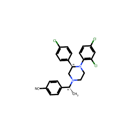 C[C@H](c1ccc(C#N)cc1)N1CCN(c2ccc(Cl)cc2Cl)[C@H](c2ccc(Cl)cc2)C1